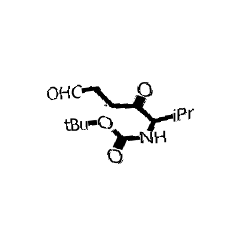 CC(C)C(NC(=O)OC(C)(C)C)C(=O)[CH]CC=O